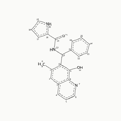 Cc1cc2cccnc2c(O)c1C(NC(=O)c1ccc[nH]1)c1ccccc1